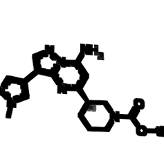 Cn1cc(-c2cnn3c(N)cc([C@@H]4CCCN(C(=O)OC(C)(C)C)C4)nc23)cn1